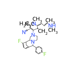 C=C/C(C#N)=C(\C(=C)/C(=C\C=C(/C)NC)N(C)C)N1CCN2C(c3ccc(F)cc3)C3=CC=C(F)C(C3)C2C1